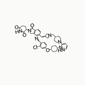 N#Cc1ccc(OC2CCC(N3NC=CC=C3N3CCC(CN4CC(=Cc5ccc6c(c5)CN(C5CCC(=O)NC5=O)C6=O)C4)CC3)CC2)cc1Cl